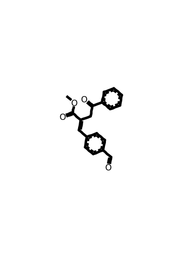 COC(=O)/C(=C/c1ccc(C=O)cc1)CC(=O)c1ccccc1